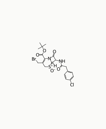 CC(C)(C)OC(=O)C1=C(CBr)C[S+]([O-])[C@@H]2C(NC(=O)Cc3ccc(Cl)cc3)C(=O)N12